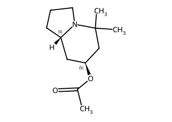 CC(=O)O[C@H]1C[C@@H]2CCCN2C(C)(C)C1